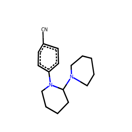 N#Cc1ccc(N2CCCCC2N2CCCCC2)cc1